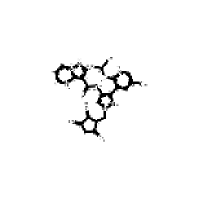 O=C1CC(=O)C(Cn2cc(NC(=O)c3cnn4cccnc34)c(-c3cc(Cl)cnc3OC(F)F)n2)C1=O